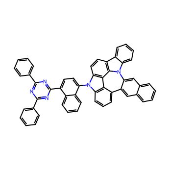 c1ccc(-c2nc(-c3ccccc3)nc(-c3ccc(-n4c5cccc6c7cc8ccccc8cc7n7c8ccccc8c8ccc4c(c65)c87)c4ccccc34)n2)cc1